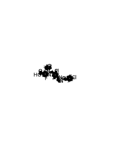 Cc1cc(Cc2nc3c(F)cc(C(=O)O)cc3n2C2COCC2(C)C)c(Cl)cc1-c1ccnc(OCc2ccc(Cl)cc2)n1